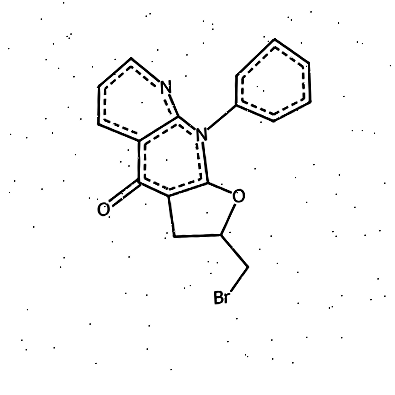 O=c1c2c(n(-c3ccccc3)c3ncccc13)OC(CBr)C2